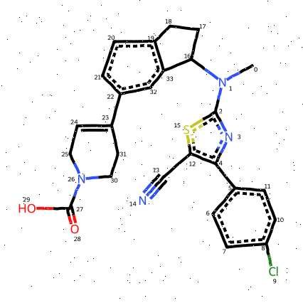 CN(c1nc(-c2ccc(Cl)cc2)c(C#N)s1)C1CCc2ccc(C3=CCN(C(=O)O)CC3)cc21